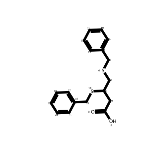 O=C(O)CC(CSCc1ccccc1)SCc1ccccc1